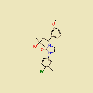 COc1cccc(C(CC(C)(C)O)N2CCN(c3ccc(Br)c(C)c3)C2=O)c1